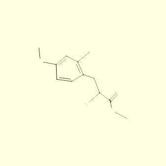 COC(=O)C(N)Cc1ccc(OC)cc1C